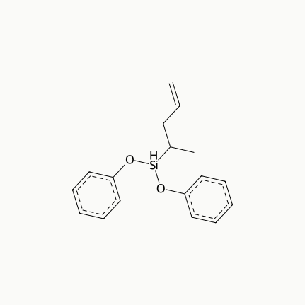 C=CCC(C)[SiH](Oc1ccccc1)Oc1ccccc1